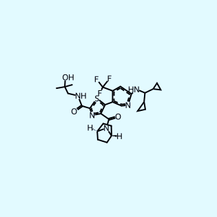 CC(C)(O)CNC(=O)c1nc(C(=O)N2[C@H]3CC[C@H]2CC3)c(-c2cnc(NC(C3CC3)C3CC3)cc2C(F)(F)F)s1